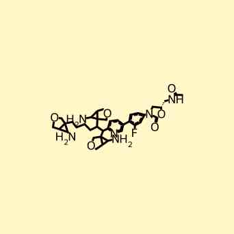 CC(=O)NC[C@H]1CN(c2ccc(-c3ccc(C(C(CCCCC45COCC4C5N)C45COCC4C5N)C45COCC4C5N)nc3)c(F)c2)C(=O)O1